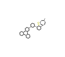 CC1=CC2C=C(C=C1)c1cccc(-c3cccc(-c4ccc5c6ccccc6c6ccccc6c5c4)c3)c1S2